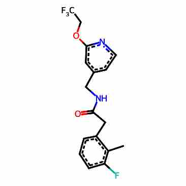 Cc1c(F)cccc1CC(=O)NCc1ccnc(OCC(F)(F)F)c1